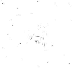 Cc1cc(F)c(-c2cc(C3(S(=O)(=O)C4CC4)CC3)nc(N3CCOCC3)n2)cn1